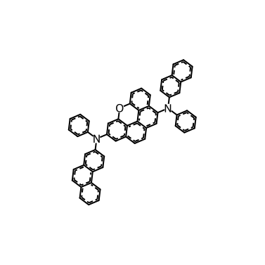 c1ccc(N(c2ccc3c(ccc4ccccc43)c2)c2cc3c4c(ccc5cc(N(c6ccccc6)c6ccc7ccccc7c6)c6cccc(c6c54)O3)c2)cc1